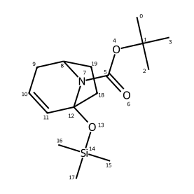 CC(C)(C)OC(=O)N1C2CC=CC1(O[Si](C)(C)C)CC2